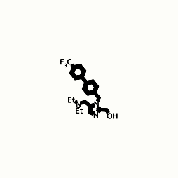 CCN(CC)Cc1cnc(CO)n1Cc1ccc(-c2ccc(C(F)(F)F)cc2)cc1